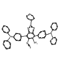 Nc1c(N=S)c(-c2ccc(N(c3ccccc3)c3ccccc3)cc2)c2nn(-c3ccncc3)nc2c1-c1ccc(N(c2ccccc2)c2ccccc2)cc1